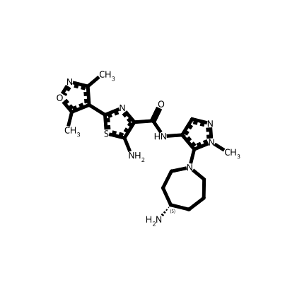 Cc1noc(C)c1-c1nc(C(=O)Nc2cnn(C)c2N2CCC[C@H](N)CC2)c(N)s1